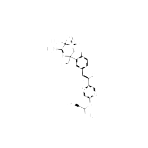 C#CC(C)Oc1cnc(/C(F)=C/c2ccc(F)c(C3(CF)CS(=O)(=O)C(C)(C)C(N)=N3)c2)cn1